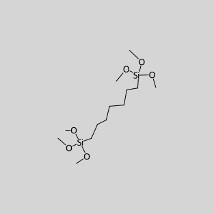 CO[Si](CCCCCCC[Si](OC)(OC)OC)(OC)OC